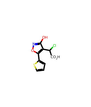 O=C(O)C(Cl)c1c(O)noc1-c1cccs1